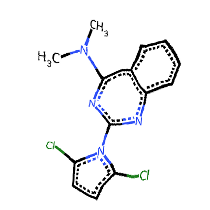 CN(C)c1nc(-n2c(Cl)ccc2Cl)nc2ccccc12